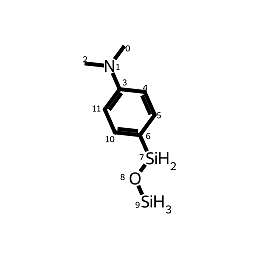 CN(C)c1ccc([SiH2]O[SiH3])cc1